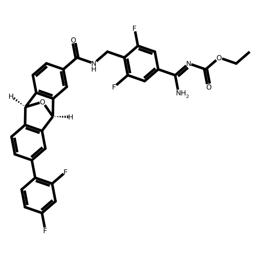 CCOC(=O)N=C(N)c1cc(F)c(CNC(=O)c2ccc3c(c2)[C@@H]2O[C@H]3c3ccc(-c4ccc(F)cc4F)cc32)c(F)c1